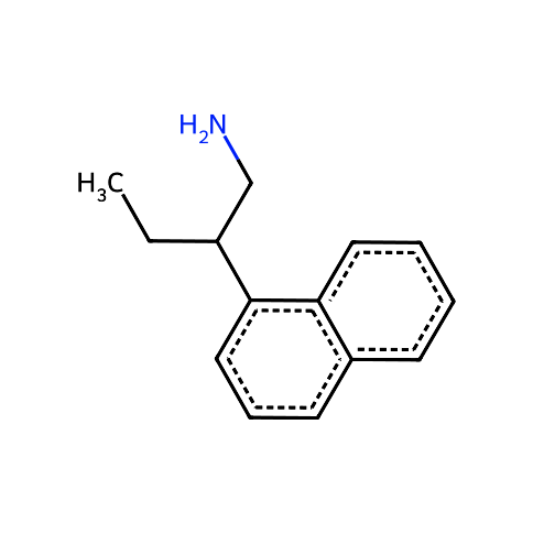 CCC(CN)c1cccc2ccccc12